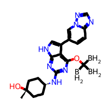 BC(B)(B)Oc1nc(N[C@H]2CC[C@@](C)(O)CC2)nc2[nH]cc(-c3ccc4ncnn4c3)c12